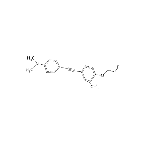 Cc1cc(C#Cc2ccc(N(C)C)cc2)ccc1OCCF